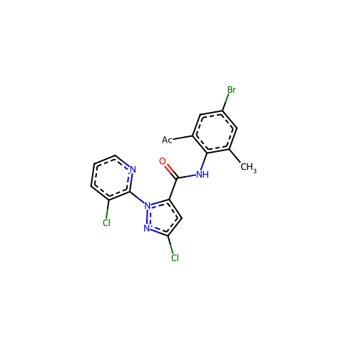 CC(=O)c1cc(Br)cc(C)c1NC(=O)c1cc(Cl)nn1-c1ncccc1Cl